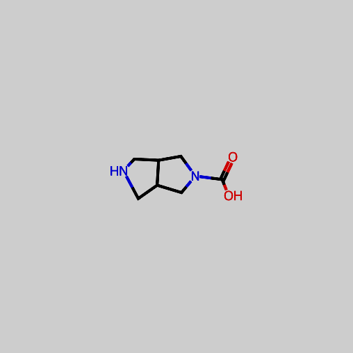 O=C(O)N1CC2CNCC2C1